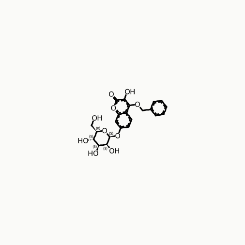 O=c1oc2cc(O[C@@H]3O[C@H](CO)[C@@H](O)[C@H](O)[C@@H]3O)ccc2c(OCc2ccccc2)c1O